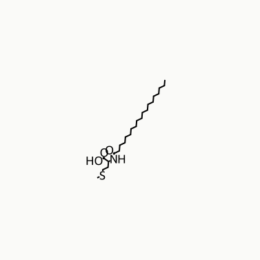 CCCCCCCCCCCCCCCCCCC(=O)NC(CCSC)C(=O)O